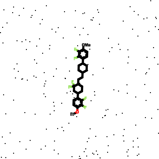 CCOc1ccc(C2CCC(CCC3CCC(c4ccc(OC)c(F)c4F)CC3)C(F)(F)C2)c(F)c1F